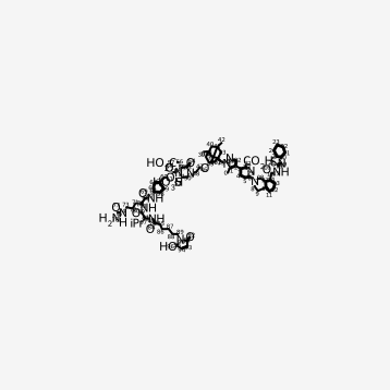 Cc1c(-c2ccc(N3CCc4cccc(C(=O)Nc5nc6ccccc6s5)c4C3)nc2C(=O)O)cnn1CC12CC3(C)CC(C)(C1)CC(OCCN(CCS(=O)(=O)O)C(=O)[C@@H](CC(=O)O)NC(=O)OCc1ccc(NC(=O)[C@H](CCCNC(N)=O)NC(=O)[C@@H](NC(=O)CCCCCN4C(=O)C=CC4O)C(C)C)cc1)(C3)C2